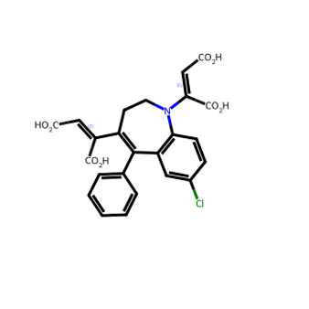 O=C(O)/C=C(\C(=O)O)C1=C(c2ccccc2)c2cc(Cl)ccc2N(/C(=C/C(=O)O)C(=O)O)CC1